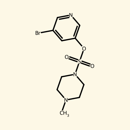 CN1CCN(S(=O)(=O)Oc2cncc(Br)c2)CC1